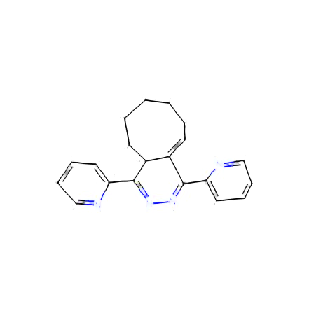 C1=C2/C(c3ccccn3)=NN=C(c3ccccn3)C2CCCCC/1